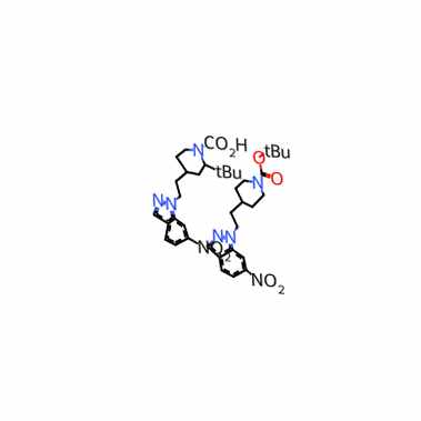 CC(C)(C)C1CC(CCn2ncc3ccc([N+](=O)[O-])cc32)CCN1C(=O)O.CC(C)(C)OC(=O)N1CCC(CCn2ncc3ccc([N+](=O)[O-])cc32)CC1